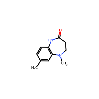 Cc1ccc2c(c1)N(C)CCC(=O)N2